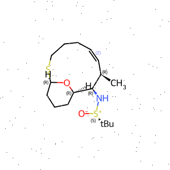 C[C@@H]1/C=C\CCCS[C@@H]2CCC[C@@H](O2)[C@@H]1N[S@+]([O-])C(C)(C)C